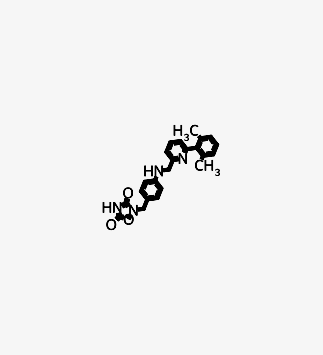 Cc1cccc(C)c1-c1cccc(CNc2ccc(Cn3oc(=O)[nH]c3=O)cc2)n1